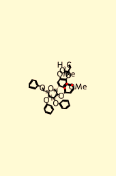 C=CC(=O)Oc1c(OC)cc([C@H]2O[C@H](COc3ccccc3)[C@@H](Oc3ccccc3)[C@H](Oc3ccccc3)[C@@H]2Oc2ccccc2)cc1OC